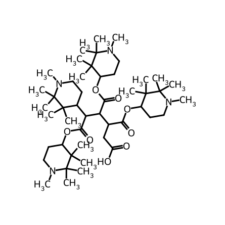 CN1CCC(OC(=O)C(CC(=O)O)C(C(=O)OC2CCN(C)C(C)(C)C2(C)C)C(C(=O)OC2CCN(C)C(C)(C)C2(C)C)C2CCN(C)C(C)(C)C2(C)C)C(C)(C)C1(C)C